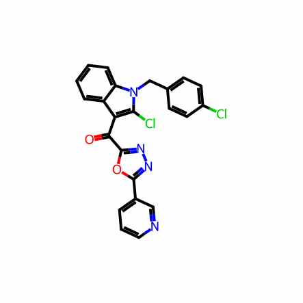 O=C(c1nnc(-c2cccnc2)o1)c1c(Cl)n(Cc2ccc(Cl)cc2)c2ccccc12